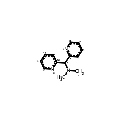 CN(C)C(c1ccccn1)c1ccccn1